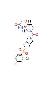 O=C1CO[C@H]2CCN(C(=O)N3CC4CC(S(=O)(=O)c5ccc(F)cc5Cl)CC4C3)C[C@H]2N1